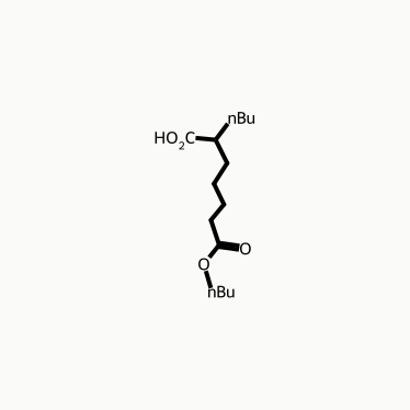 CCCCOC(=O)CCCCC(CCCC)C(=O)O